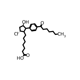 CCCCCCC(=O)c1ccc(C2C(CCCCCCC(=O)O)[C@H](Cl)C[C@H]2O)cc1